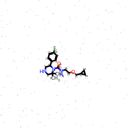 CC1(C)CNCC(c2ccc(F)cc2)N1C(=O)NCCOCC1CC1